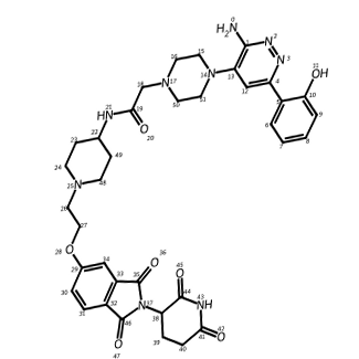 Nc1nnc(-c2ccccc2O)cc1N1CCN(CC(=O)NC2CCN(CCOc3ccc4c(c3)C(=O)N(C3CCC(=O)NC3=O)C4=O)CC2)CC1